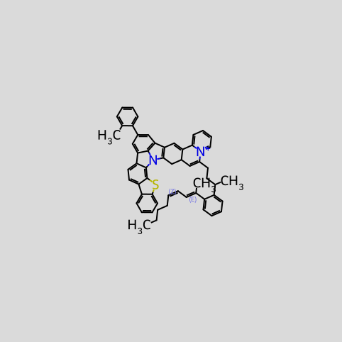 CCCC/C=C\C=C(/C)c1ccccc1C(C)CCC1=CC2Cc3c(c4cc(-c5ccccc5C)cc5c6ccc7c8ccccc8sc7c6n3c45)C=C2c2cccc[n+]21